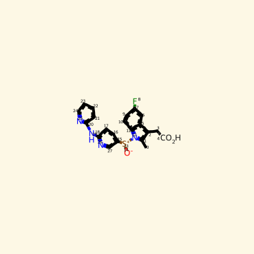 Cc1c(CC(=O)O)c2cc(F)ccc2n1[S+]([O-])c1ccc(Nc2ccccn2)nc1